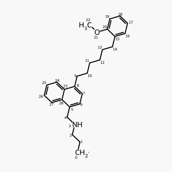 [CH2]CCNCc1ccc(CCCCCCc2ccccc2OC)c2ccccc12